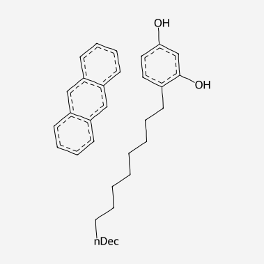 CCCCCCCCCCCCCCCCCCc1ccc(O)cc1O.c1ccc2cc3ccccc3cc2c1